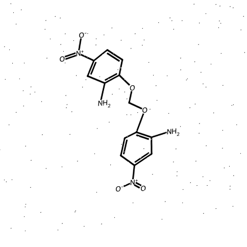 Nc1cc([N+](=O)[O-])ccc1OCOc1ccc([N+](=O)[O-])cc1N